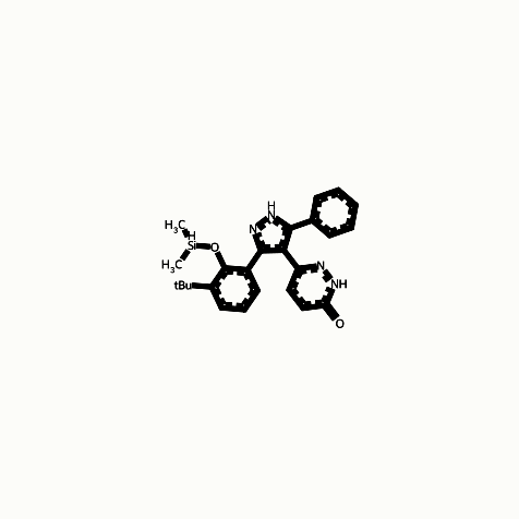 C[SiH](C)Oc1c(-c2n[nH]c(-c3ccccc3)c2-c2ccc(=O)[nH]n2)cccc1C(C)(C)C